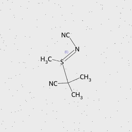 C/S(=N\C#N)C(C)(C)C#N